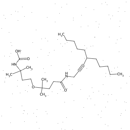 CCCCCC(C#CCNC(=O)CCC(C)(C)OCCC(C)(C)NC(=O)O)CCCCC